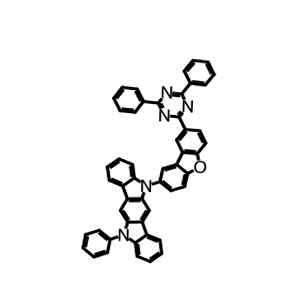 c1ccc(-c2nc(-c3ccccc3)nc(-c3ccc4oc5ccc(-n6c7ccccc7c7cc8c(cc76)c6ccccc6n8-c6ccccc6)cc5c4c3)n2)cc1